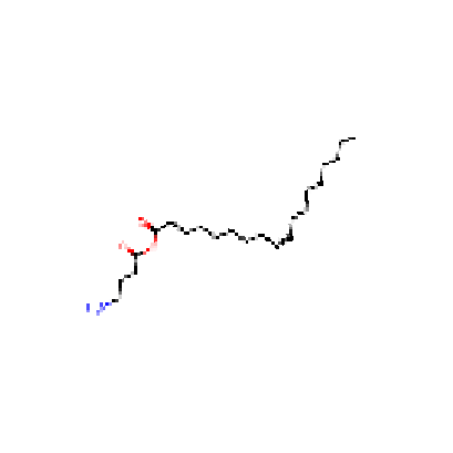 CCCCCCCC/C=C\CCCCCCCC(=O)OC(=O)CCCN